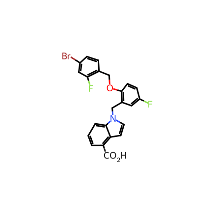 O=C(O)c1cccc2c1ccn2Cc1cc(F)ccc1OCc1ccc(Br)cc1F